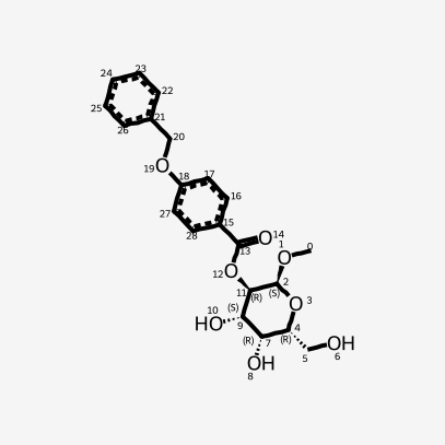 CO[C@H]1O[C@H](CO)[C@H](O)[C@H](O)[C@H]1OC(=O)c1ccc(OCc2ccccc2)cc1